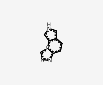 c1cc2nncn2c2c[nH]cc12